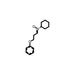 [O-][N+](=CCCOc1ccccc1)C1CCCCC1